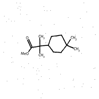 COC(=O)C(C)(C)C1CCC(C)(C)CC1